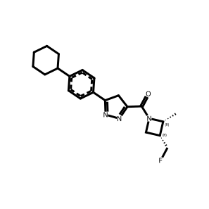 C[C@@H]1[C@H](CF)CN1C(=O)C1=NN=C(c2ccc(C3CCCCC3)cc2)C1